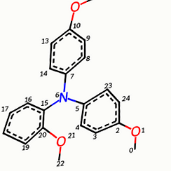 COc1ccc(N(c2ccc(OC)cc2)c2ccccc2OC)cc1